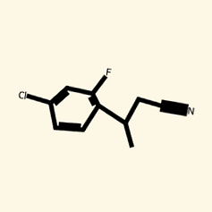 CC(CC#N)c1ccc(Cl)cc1F